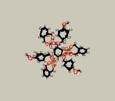 COc1ccc(CO[C@H]2[C@H](OP3(=O)OCc4ccccc4CO3)[C@H](OCc3ccc(OC)cc3)[C@H](OP3(=O)OCc4ccccc4CO3)[C@@H](OCc3ccc(OC)cc3)[C@@H]2OP2(=O)OCc3ccccc3CO2)cc1